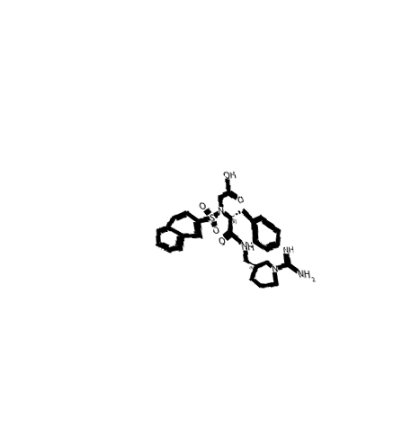 N=C(N)N1CCC[C@@H](CNC(=O)[C@@H](Cc2ccccc2)N(CC(=O)O)S(=O)(=O)c2ccc3ccccc3c2)C1